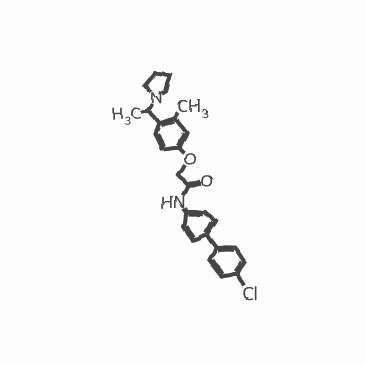 Cc1cc(OCC(=O)Nc2ccc(-c3ccc(Cl)cc3)cc2)ccc1C(C)N1CCCC1